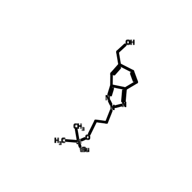 CC(C)(C)[Si](C)(C)OCCn1nc2ccc(CO)cc2n1